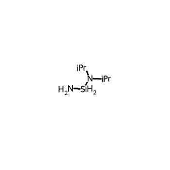 CC(C)N([SiH2]N)C(C)C